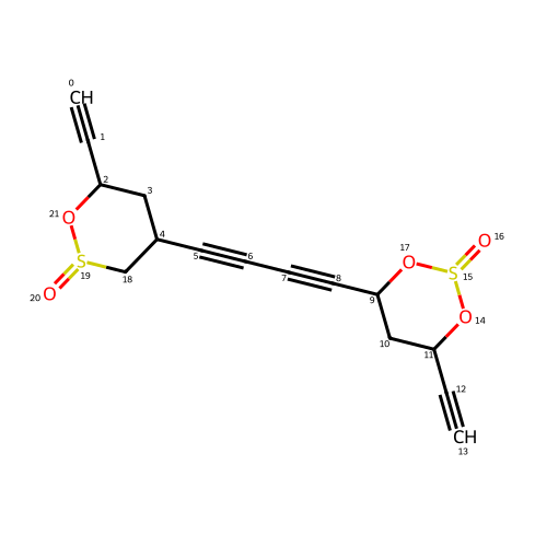 C#CC1CC(C#CC#CC2CC(C#C)OS(=O)O2)CS(=O)O1